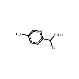 CCC(C(=O)O)c1ccc(C)cn1